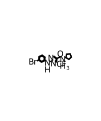 O=C(NC1CCCC1)c1cnc(Nc2cccc(Br)c2)nc1C(F)(F)F